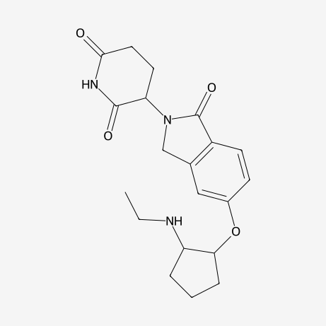 CCNC1CCCC1Oc1ccc2c(c1)CN(C1CCC(=O)NC1=O)C2=O